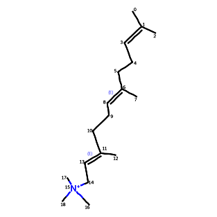 CC(C)=CCC/C(C)=C/CC/C(C)=C/C[N+](C)(C)C